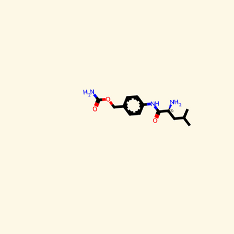 CC(C)C[C@H](N)C(=O)Nc1ccc(COC(N)=O)cc1